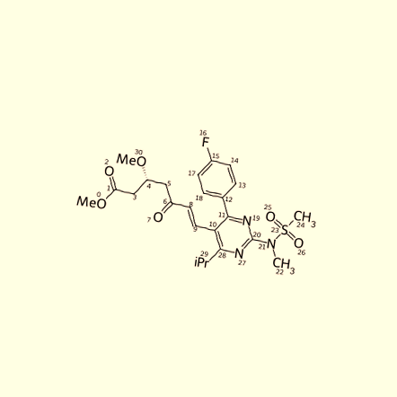 COC(=O)C[C@@H](CC(=O)/C=C/c1c(-c2ccc(F)cc2)nc(N(C)S(C)(=O)=O)nc1C(C)C)OC